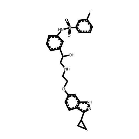 O=S(=O)(Nc1cccc(C(O)CNCCOc2ccc3c(C4CC4)n[nH]c3c2)c1)c1cccc(F)c1